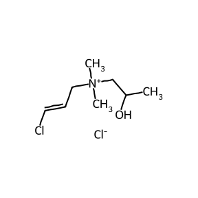 CC(O)C[N+](C)(C)CC=CCl.[Cl-]